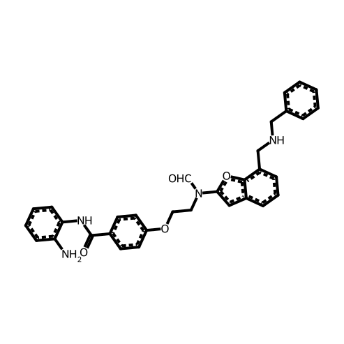 Nc1ccccc1NC(=O)c1ccc(OCCN(C=O)c2cc3cccc(CNCc4ccccc4)c3o2)cc1